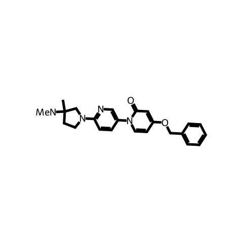 CNC1(C)CCN(c2ccc(-n3ccc(OCc4ccccc4)cc3=O)cn2)C1